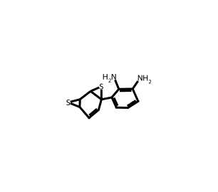 Nc1cccc(C23C=CC4SC4C2S3)c1N